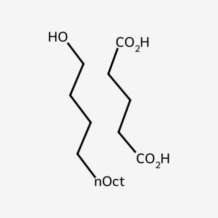 CCCCCCCCCCCCO.O=C(O)CCCC(=O)O